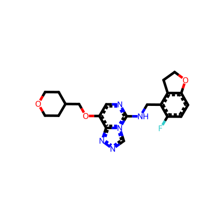 Fc1ccc2c(c1CNc1ncc(OCC3CCOCC3)c3nncn13)CCO2